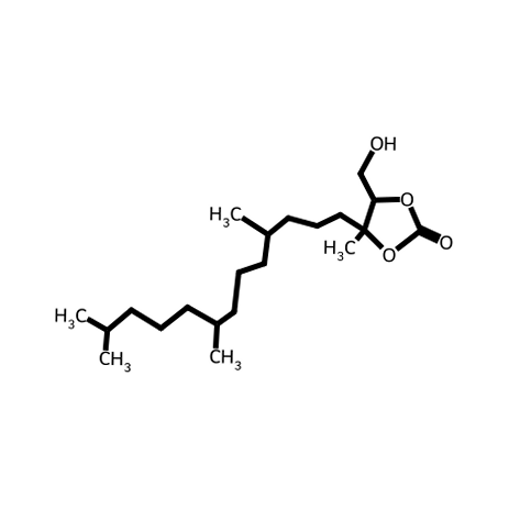 CC(C)CCCC(C)CCCC(C)CCCC1(C)OC(=O)OC1CO